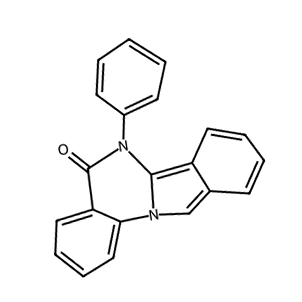 O=c1c2ccccc2n2cc3ccccc3c2n1-c1ccccc1